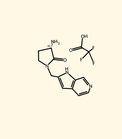 N[C@H]1CCN(Cc2cc3ccncc3[nH]2)C1=O.O=C(O)C(F)(F)F